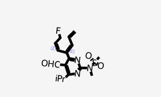 C=C/C=C(\C=C/CF)c1nc(N(C)S(C)(=O)=O)nc(C(C)C)c1C=O